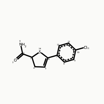 NC(=O)C1CC=C(c2ccc(Cl)cc2)S1